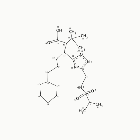 CC(C)S(=O)(=O)NCc1noc([C@H](CCCC2CCCCC2)C(C(=O)O)C(C)(C)C)n1